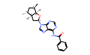 C[C@@H]1C[C@@H](C)[C@H]2O[C@@H](n3cnc4c(NC(=O)c5ccccc5)ncnc43)C[C@H]21